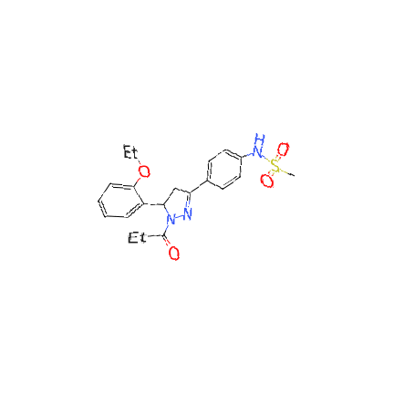 CCOc1ccccc1C1CC(c2ccc(NS(C)(=O)=O)cc2)=NN1C(=O)CC